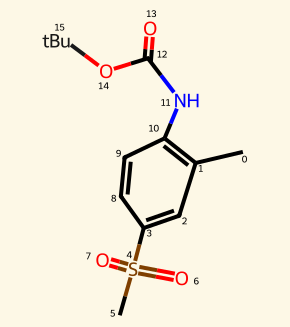 Cc1cc(S(C)(=O)=O)ccc1NC(=O)OC(C)(C)C